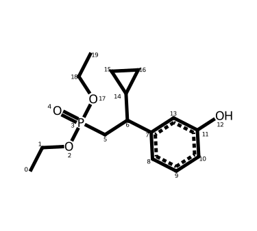 CCOP(=O)(CC(c1cccc(O)c1)C1CC1)OCC